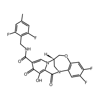 Cc1cc(F)c(CNC(=O)c2cn3c(c(O)c2=O)C(=O)N2C[C@H]3COc3cc(F)c(F)cc32)c(F)c1